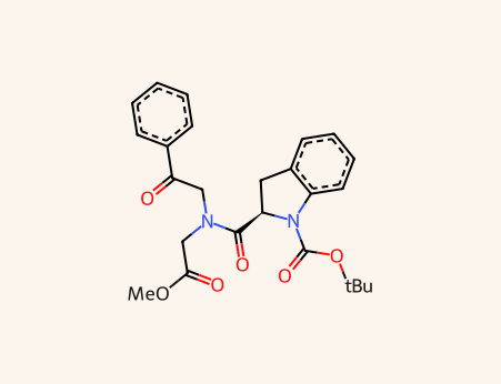 COC(=O)CN(CC(=O)c1ccccc1)C(=O)[C@H]1Cc2ccccc2N1C(=O)OC(C)(C)C